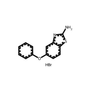 Br.Nc1nc2cc(Oc3ccccc3)ccc2s1